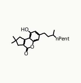 CCCCCC(C)CCc1cc(O)c2c3c(c(=O)oc2c1)CC(C)(C)C3